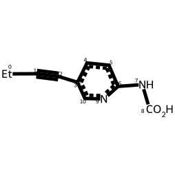 CCC#Cc1ccc(NC(=O)O)nc1